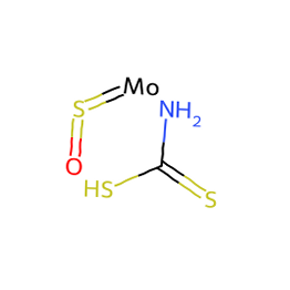 NC(=S)S.O=[S]=[Mo]